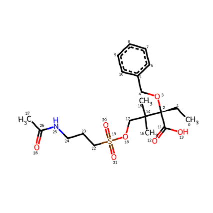 CC[C@@](OCc1ccccc1)(C(=O)O)C(C)(C)COS(=O)(=O)CCCNC(C)=O